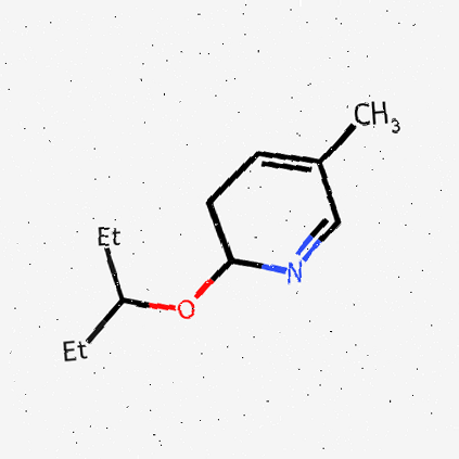 CCC(CC)OC1CC=C(C)C=N1